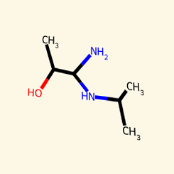 CC(C)NC(N)C(C)O